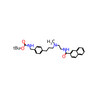 CN(CCCc1ccc(CNC(=O)OC(C)(C)C)cc1)CCNC(=O)c1ccc2ccccc2c1